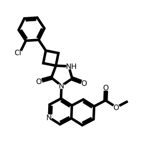 COC(=O)c1ccc2cncc(N3C(=O)NC4(CC(c5ccccc5Cl)C4)C3=O)c2c1